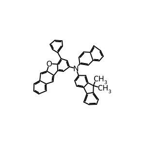 CC1(C)c2ccccc2-c2ccc(N(c3ccc4ccccc4c3)c3cc(-c4ccccc4)c4oc5cc6ccccc6cc5c4c3)cc21